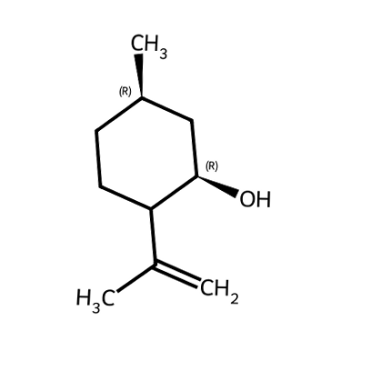 C=C(C)C1CC[C@@H](C)C[C@H]1O